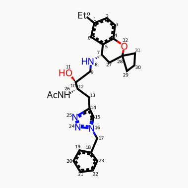 CCc1ccc2c(c1)[C@@H](NC[C@H](O)[C@H](Cc1cn(Cc3ccccc3)nn1)NC(C)=O)CC1(CCC1)O2